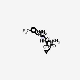 C=N/C(=C\N(N)Cc1cccc(C(F)(F)F)c1)c1nc2c([nH]1)c(=O)n(CC1CC1)c(=O)n2C